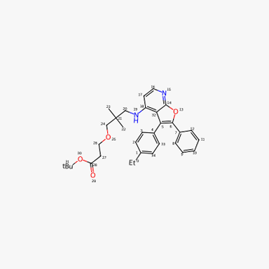 CCc1ccc(-c2c(-c3ccccc3)oc3nccc(NCC(C)(C)COCCC(=O)OC(C)(C)C)c23)cc1